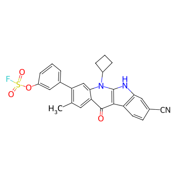 Cc1cc2c(=O)c3c4ccc(C#N)cc4[nH]c3n(C3CCC3)c2cc1-c1cccc(OS(=O)(=O)F)c1